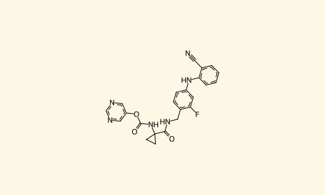 N#Cc1ccccc1Nc1ccc(CNC(=O)C2(NC(=O)Oc3cncnc3)CC2)c(F)c1